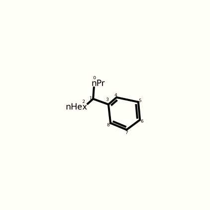 [CH2]CCC(CCCCCC)c1ccccc1